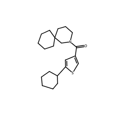 O=C(c1csc(C2CCCCC2)c1)N1CCCC2(CCCCC2)C1